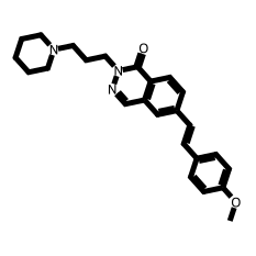 COc1ccc(C=Cc2ccc3c(=O)n(CCCN4CCCCC4)ncc3c2)cc1